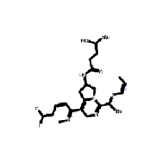 C/C=C\SC(C1=NCC(C(/C=C\CC(F)F)=N/C)=C2CC(NC(=O)CCC(O)CCCC)CN12)C(C)CC